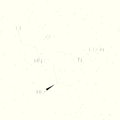 O=C(CCl)N[C@@H]1CN(C(=O)O)CC[C@H]1O